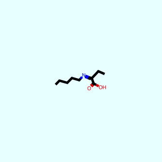 CCCCCN=C(CC)C(=O)O